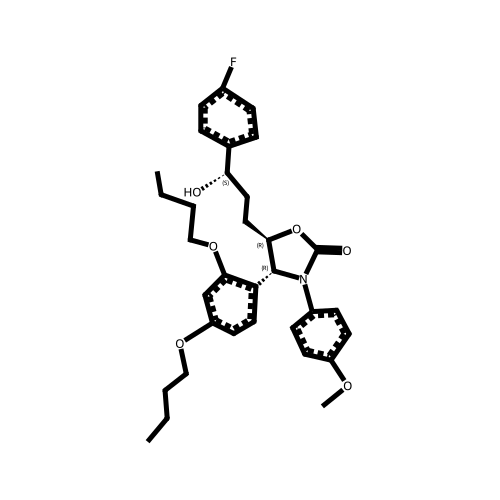 CCCCOc1ccc([C@@H]2[C@@H](CC[C@H](O)c3ccc(F)cc3)OC(=O)N2c2ccc(OC)cc2)c(OCCCC)c1